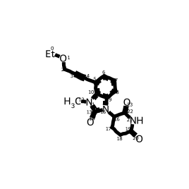 [CH2]COCC#Cc1cccc2c1n(C)c(=O)n2C1CCC(=O)NC1=O